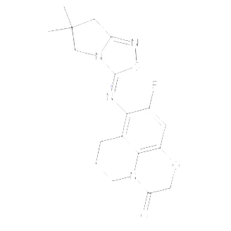 CC1(C)Cc2ns/c(=N\c3c(F)cc4c5c3CCCN5C(=O)CO4)n2C1